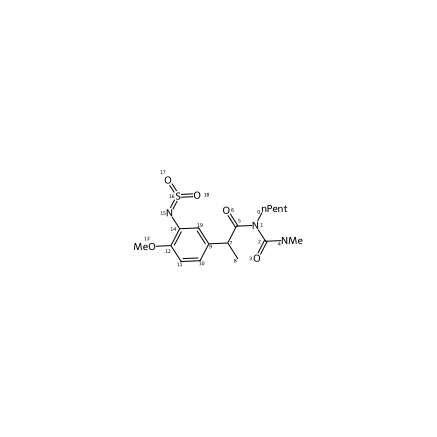 CCCCCN(C(=O)NC)C(=O)C(C)c1ccc(OC)c(N=S(=O)=O)c1